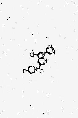 O=C(c1cnc2c(c1)c(Cl)cn2-c1cncnc1)N1CCC(F)CC1